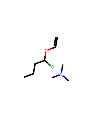 C=COC(Cl)CCC.CN(C)C